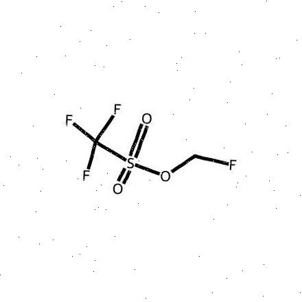 O=S(=O)(OCF)C(F)(F)F